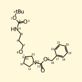 CC(C)(C)OC(=O)NCCCO[C@H]1CCN(C(=O)OCc2ccccc2)C1